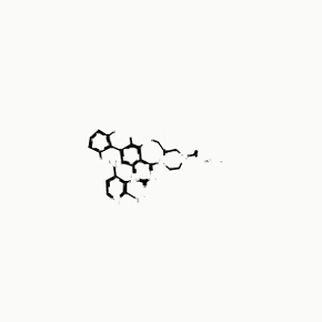 COc1cccc(F)c1-c1cc2c3c(nc(=O)n2-c2c(C)ccnc2C(C)C)N2CCN(C(=O)OC(C)(C)C)C[C@@H]2COc3c1F